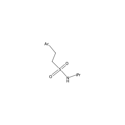 CC(=O)CCS(=O)(=O)NC(C)C